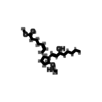 CCCCC[C@H](O)/C=C/[C@@H]1[C@@H](C/C=C\CCCC(=O)OC)CC[C@H]1OPI